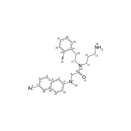 CC(=O)c1ccc2cc(N(C)CC(=O)N(CCCN)CCc3ccccc3F)ccc2c1